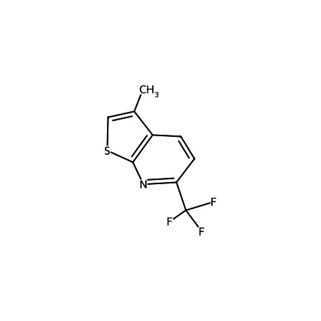 Cc1csc2nc(C(F)(F)F)ccc12